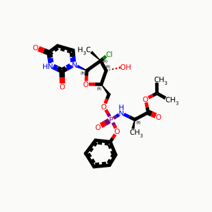 CC(C)OC(=O)[C@@H](C)NP(=O)(OC[C@H]1O[C@@H](n2ccc(=O)[nH]c2=O)[C@](C)(Cl)[C@@H]1O)Oc1ccccc1